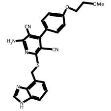 COCCOc1ccc(-c2c(C#N)c(N)nc(SCc3cccc4[nH]cnc34)c2C#N)cc1